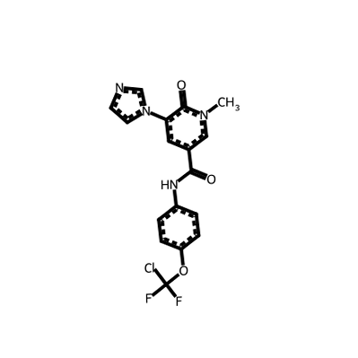 Cn1cc(C(=O)Nc2ccc(OC(F)(F)Cl)cc2)cc(-n2ccnc2)c1=O